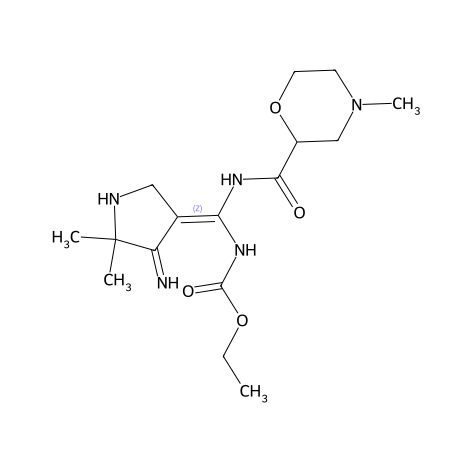 CCOC(=O)N/C(NC(=O)C1CN(C)CCO1)=C1/CNC(C)(C)C1=N